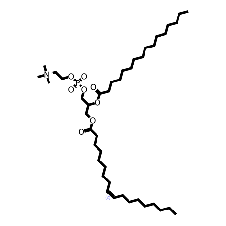 CCCCCCCC/C=C\CCCCCCCC(=O)OCC(COP(=O)([O-])OCC[N+](C)(C)C)OC(=O)CCCCCCCCCCCCCCC